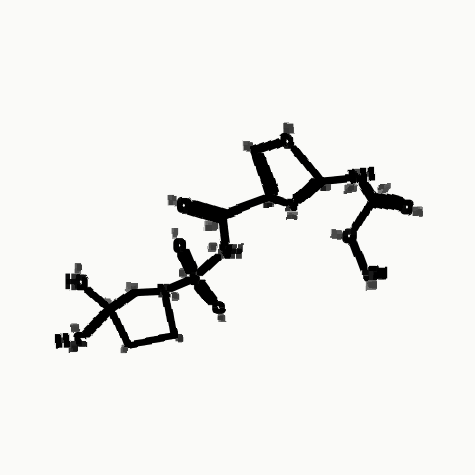 CC1(O)CCN(S(=O)(=O)NC(=O)c2coc(NC(=O)OC(C)(C)C)n2)C1